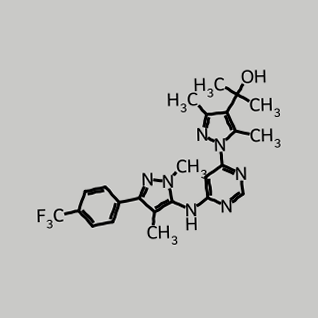 Cc1nn(-c2cc(Nc3c(C)c(-c4ccc(C(F)(F)F)cc4)nn3C)ncn2)c(C)c1C(C)(C)O